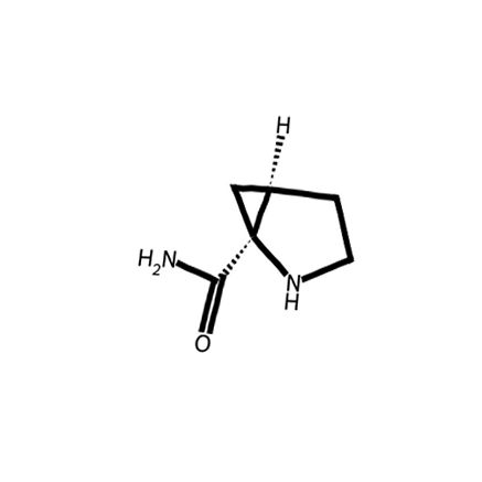 NC(=O)[C@]12C[C@H]1CCN2